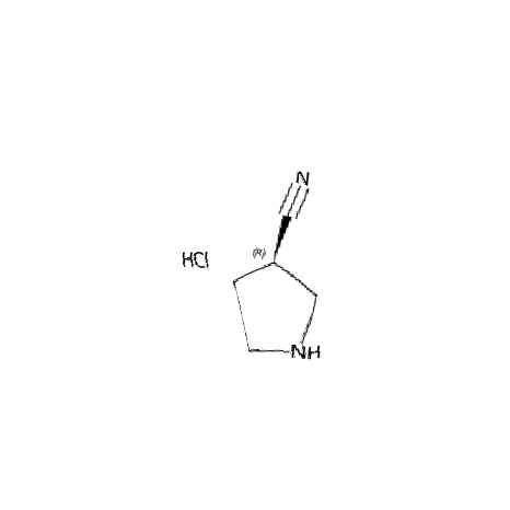 Cl.N#C[C@@H]1CCNC1